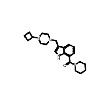 O=C(c1cccc2c(CN3CCN(C4CCC4)CC3)c[nH]c12)N1CCCCC1